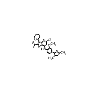 COc1cc(-c2nn(C)cc2C)ccc1Nc1cc(Cl)nc2c1nc(C(F)F)n2C1CCCCO1